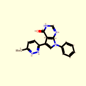 COc1ccc(-c2cn(-c3ccccc3)c3nc[nH]c(=O)c23)nn1